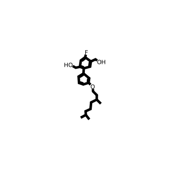 CC(C)CCCC(C)CCOc1cccc(-c2cc(CO)c(F)cc2CO)c1